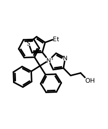 CCc1cscc1[N+]1(C(c2ccccc2)(c2ccccc2)c2ccccc2)C=NC(CCO)=C1